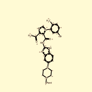 CCCCCN1CCN(c2ccc3[nH]c(NC(=O)c4c(C(N)=O)ncn4-c4cc(Br)ccc4C)nc3c2)CC1